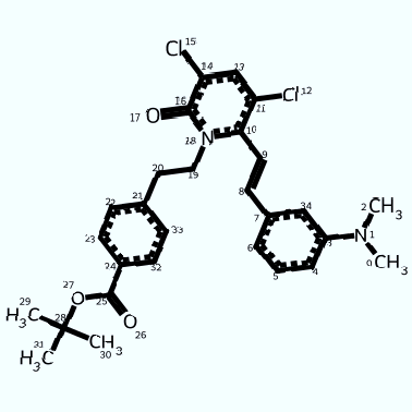 CN(C)c1cccc(C=Cc2c(Cl)cc(Cl)c(=O)n2CCc2ccc(C(=O)OC(C)(C)C)cc2)c1